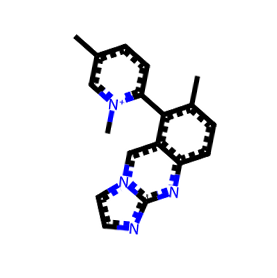 Cc1ccc(-c2c(C)ccc3nc4nccn4cc23)[n+](C)c1